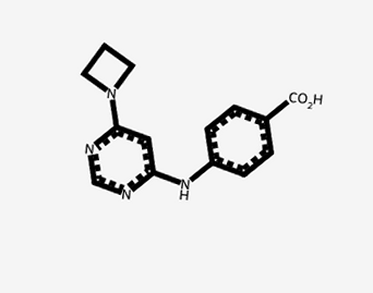 O=C(O)c1ccc(Nc2cc(N3CCC3)ncn2)cc1